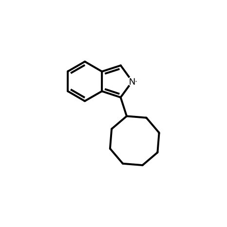 C1=c2ccccc2=C(C2CCCCCCC2)[N]1